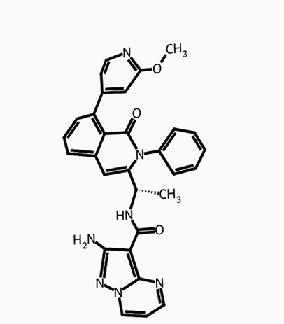 COc1cc(-c2cccc3cc([C@H](C)NC(=O)c4c(N)nn5cccnc45)n(-c4ccccc4)c(=O)c23)ccn1